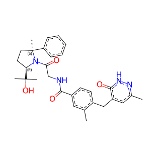 Cc1cc(Cc2ccc(C(=O)NCC(=O)N3[C@@H](C(C)(C)O)CC[C@@]3(C)c3ccccc3)cc2C)c(=O)[nH]n1